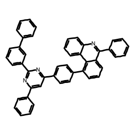 c1ccc(-c2cccc(-c3nc(-c4ccccc4)cc(-c4ccc(-c5cccc6c(-c7ccccc7)nc7ccccc7c56)cc4)n3)c2)cc1